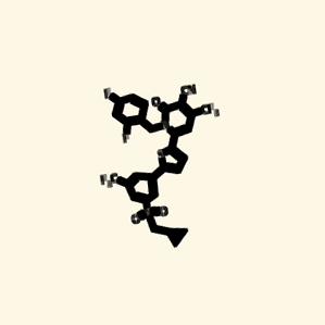 N#Cc1c(C(F)(F)F)cc(-c2ccc(-c3cc(C(F)(F)F)cc(S(=O)(=O)CC4CC4)c3)s2)n(Cc2ccc(F)cc2F)c1=O